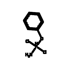 N[PH](Cl)(Cl)Oc1ccccc1